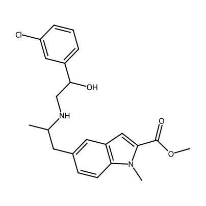 COC(=O)c1cc2cc(CC(C)NCC(O)c3cccc(Cl)c3)ccc2n1C